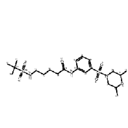 CC1CN(S(=O)(=O)c2cccc(NC(=O)CCCCNS(=O)(=O)C(C)(C)C)c2)CC(C)O1